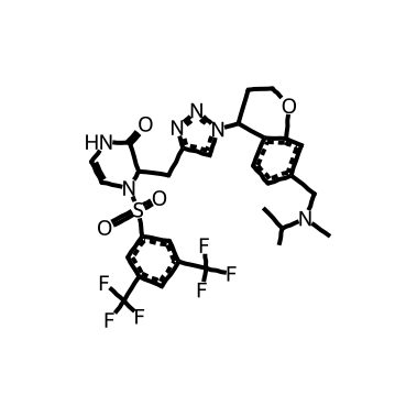 CC(C)N(C)Cc1ccc2c(c1)OCCC2n1cc(CC2C(=O)NC=CN2S(=O)(=O)c2cc(C(F)(F)F)cc(C(F)(F)F)c2)nn1